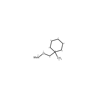 CNOCC1(C)CCCCC1